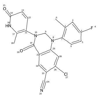 Cc1cc(F)ccc1N1CN(c2ccc(=O)[nH]c2C)C(=O)c2cc(C#N)c(Cl)cc21